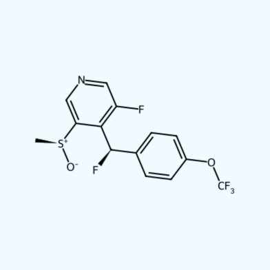 C[S@+]([O-])c1cncc(F)c1[C@H](F)c1ccc(OC(F)(F)F)cc1